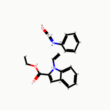 C=Cn1c(C(=O)OCC)cc2ccccc21.O=C=Nc1ccccc1